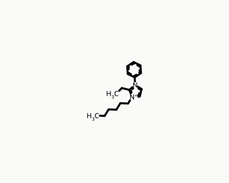 CCCCCC[n+]1ccn(-c2ccccc2)c1CC